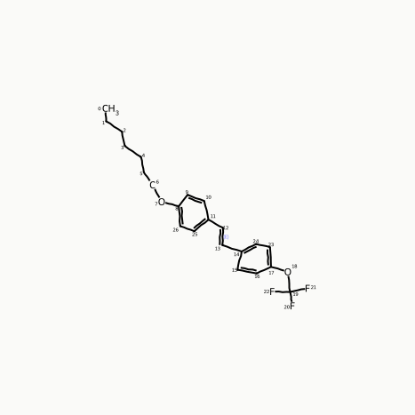 CCCCCCCOc1ccc(/C=C/c2ccc(OC(F)(F)F)cc2)cc1